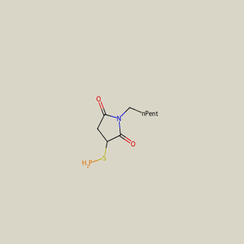 CCCCCCN1C(=O)CC(SP)C1=O